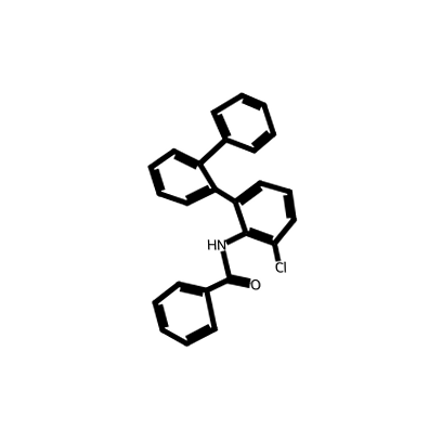 O=C(Nc1c(Cl)cccc1-c1ccccc1-c1ccccc1)c1ccccc1